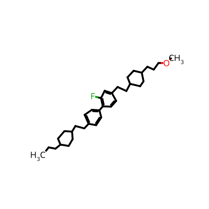 CCCC1CCC(CCc2ccc(-c3ccc(CCC4CCC(CCCOC)CC4)cc3F)cc2)CC1